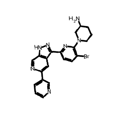 NC1CCCN(c2nc(-c3n[nH]c4cnc(-c5cccnc5)cc34)ccc2Br)C1